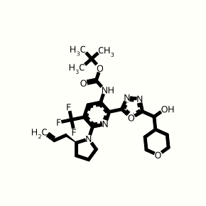 C=CC[C@@H]1CCCN1c1nc(-c2nnc(C(O)C3CCOCC3)o2)c(NC(=O)OC(C)(C)C)cc1C(F)(F)F